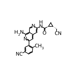 Cc1ccc(C#N)cc1-c1cc2cc(NC(=O)[C@H]3C[C@@H]3CC#N)ncc2c(N)n1